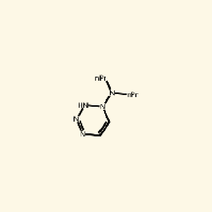 CCCN(CCC)N1C=CN=NN1